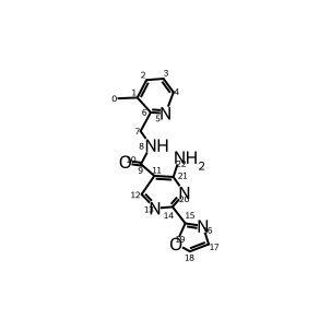 Cc1cccnc1CNC(=O)c1cnc(-c2ncco2)nc1N